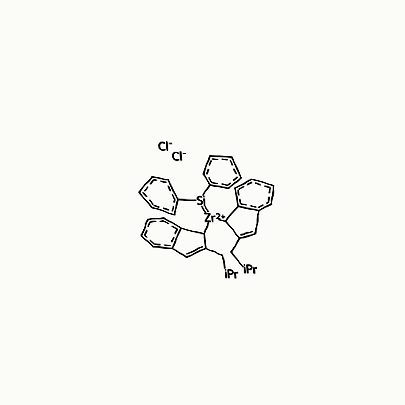 CC(C)CC1=Cc2ccccc2[CH]1[Zr+2]([CH]1C(CC(C)C)=Cc2ccccc21)=[Si](c1ccccc1)c1ccccc1.[Cl-].[Cl-]